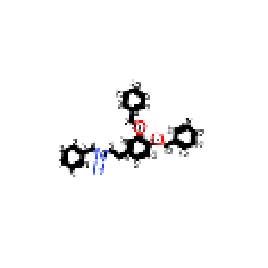 c1ccc(CNCCc2ccc(OCc3ccccc3)c(OCc3ccccc3)c2)cc1